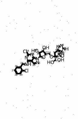 O=P(O)(O)[C@@](CO)(Cc1nn[nH]n1)OC[C@H]1O[C@@H](n2ncc3c(NCc4ccccc4Cl)nc(Cl)nc32)[C@H](O)[C@@H]1O